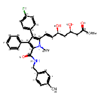 COC(=O)C[C@H](O)C[C@H](O)C=Cc1c(-c2ccc(F)cc2)c(-c2ccccc2)c(C(=O)NCc2ccc(C#N)cc2)n1C(C)C